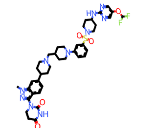 Cn1nc(N2CCC(=O)NC2=O)c2ccc(C3CCN(CC4CCN(c5cccc(S(=O)(=O)N6CCC(Nc7ncc(OC(F)F)cn7)CC6)c5)CC4)CC3)cc21